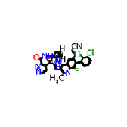 Cc1nc2c(F)c(-c3cccc(Cl)c3Cl)c(CCC#N)cc2c2c1cc([C@H](C)c1ccnnc1C(N)=O)n2[C@H]1[C@H]2CN[C@@H]1C2